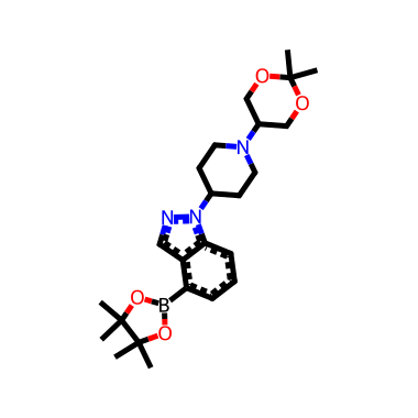 CC1(C)OCC(N2CCC(n3ncc4c(B5OC(C)(C)C(C)(C)O5)cccc43)CC2)CO1